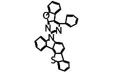 c1ccc(-c2nc(-n3c4ccccc4c4c5sc6ccccc6c5ccc43)nc3oc4ccccc4c23)cc1